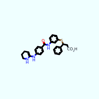 O=C(O)CC(Sc1cccc(NC(=O)c2ccc(NC3=CCCCN3)cc2)c1)c1ccccc1